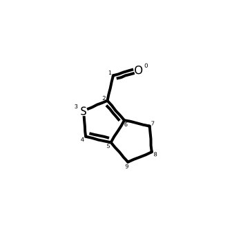 O=Cc1scc2c1CCC2